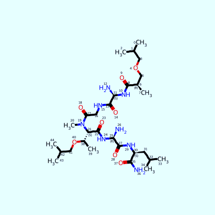 CC(C)COC[C@@H](C)C(=O)N[C@H](N)C(=O)NCC(=O)N(C)[C@H](C(=O)N[C@@H](N)C(=O)N[C@@H](CC(C)C)C(N)=O)C(C)OCC(C)C